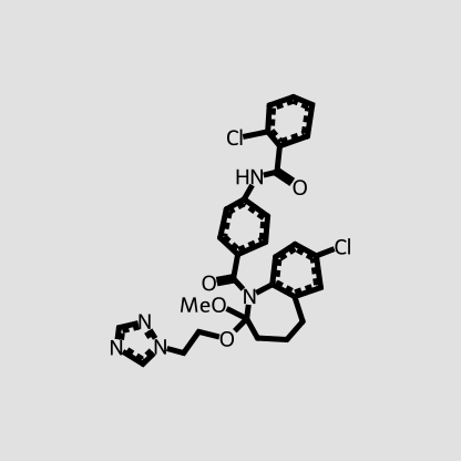 COC1(OCCn2cncn2)CCCc2cc(Cl)ccc2N1C(=O)c1ccc(NC(=O)c2ccccc2Cl)cc1